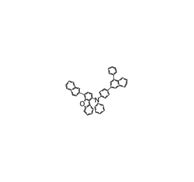 c1ccc(-c2cc(-c3ccc(N(c4ccccc4)c4ccc(-c5ccc6ccccc6c5)c5oc6ccccc6c45)cc3)cc3ccccc23)cc1